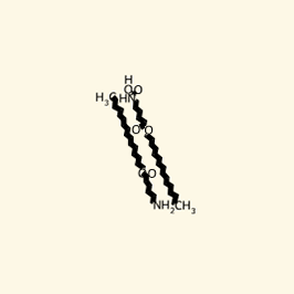 CCCCCCCCCCCCCCCCOC(=O)CCCCCN.CCCCCCCCCCCCCCCCOC(=O)CCCCCNC(=O)O